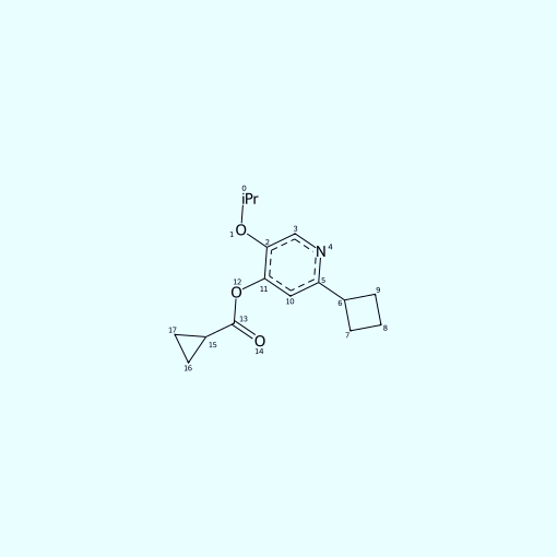 CC(C)Oc1cnc(C2CCC2)cc1OC(=O)C1CC1